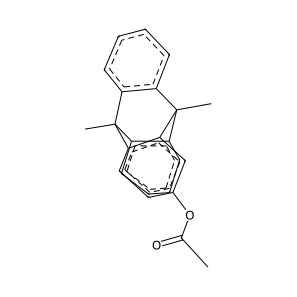 CC(=O)Oc1ccc2c(c1)C1(C)c3ccccc3C2(C)c2ccccc21